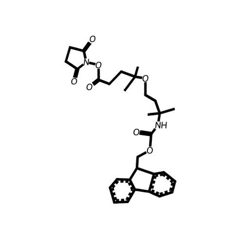 CC(C)(CCOC(C)(C)CCC(=O)ON1C(=O)CCC1=O)NC(=O)OCC1c2ccccc2-c2ccccc21